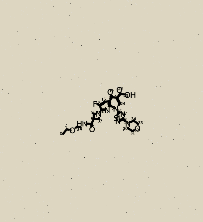 CCOCCNC(=O)C1CN(c2nc3c(cc2F)c(=O)c(C(=O)O)cn3-c2nc(N3CCOCC3)ns2)C1